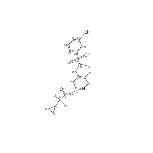 Cc1cnc(NC(=O)C(C)(C)C2CC2)cc1CN(C)S(=O)(=O)c1cccc(Cl)c1